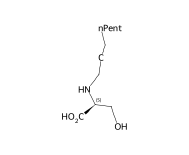 CCCCCCCCN[C@@H](CO)C(=O)O